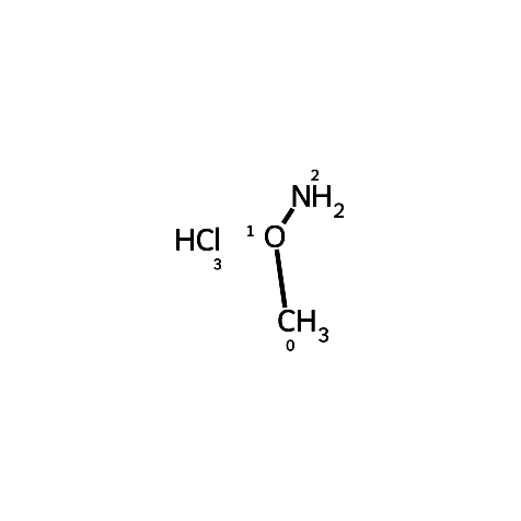 CON.Cl